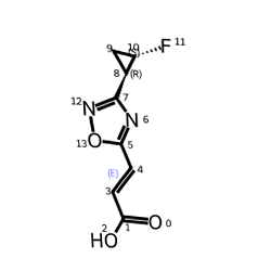 O=C(O)/C=C/c1nc([C@H]2C[C@@H]2F)no1